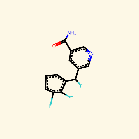 NC(=O)c1cncc(C(F)c2cccc(F)c2F)c1